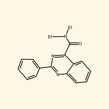 CCN(CC)C(=O)c1nc(-c2ccccc2)nc2ccccc12